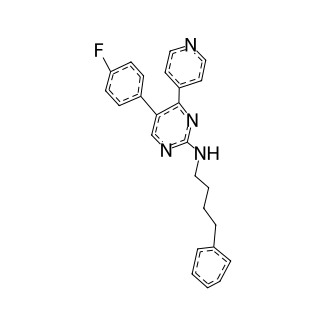 Fc1ccc(-c2cnc(NCCCCc3ccccc3)nc2-c2ccncc2)cc1